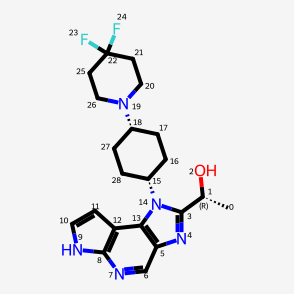 C[C@@H](O)c1nc2cnc3[nH]ccc3c2n1[C@H]1CC[C@@H](N2CCC(F)(F)CC2)CC1